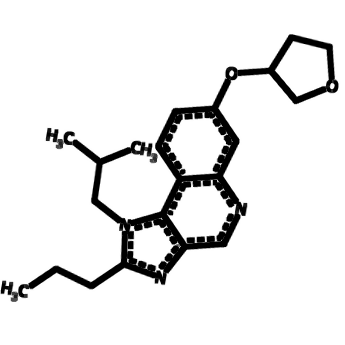 CCCc1nc2cnc3cc(OC4CCOC4)ccc3c2n1CC(C)C